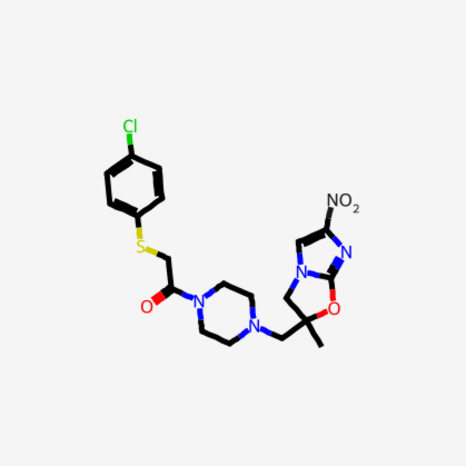 CC1(CN2CCN(C(=O)CSc3ccc(Cl)cc3)CC2)Cn2cc([N+](=O)[O-])nc2O1